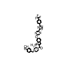 COc1ccc(CN2CCN(C(=O)c3cc4ccc(Oc5cnc(-c6nc(-c7ccc(C(F)(F)F)cc7)no6)cn5)cc4n3C)CC2)cc1